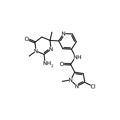 CN1C(=O)CC(C)(c2cc(NC(=O)c3cc(Cl)nn3C)ccn2)N=C1N